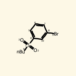 CCCCS(=O)(=O)c1cccc(Br)c1